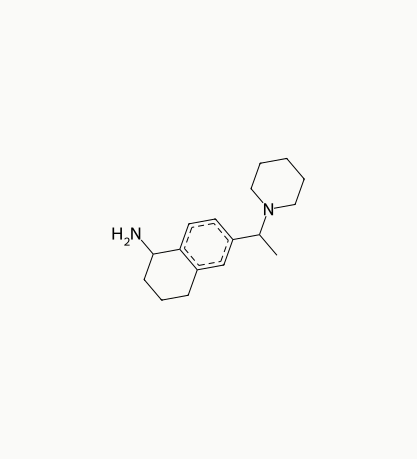 CC(c1ccc2c(c1)CCCC2N)N1CCCCC1